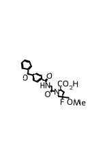 COCC1(F)C[C@H](C(=O)O)N(C(=O)CNC(=O)c2ccc(C(=O)c3ccccc3)cc2)C1